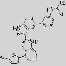 CC(=O)c1ccc(-c2cccc3[nH]c(-c4n[nH]c5cnc(-c6cncc(NC(=O)C(C)(C)C)c6)cc45)cc23)s1